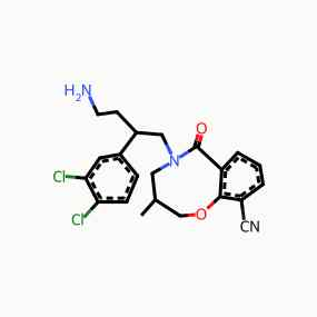 CC1COc2c(C#N)cccc2C(=O)N(CC(CCN)c2ccc(Cl)c(Cl)c2)C1